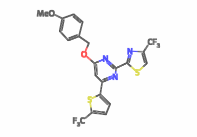 COc1ccc(COc2cc(-c3ccc(C(F)(F)F)s3)nc(-c3nc(C(F)(F)F)cs3)n2)cc1